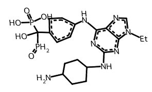 CCn1cnc2c(Nc3ccc(C(O)([PH2]=O)P(=O)(O)O)cc3)nc(NC3CCC(N)CC3)nc21